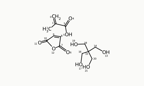 C=C(C)C(=O)O.O=C1C=CC(=O)O1.OCC(CO)(CO)CO